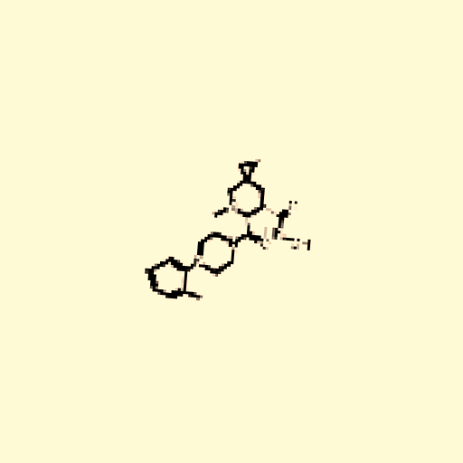 Cc1ccccc1N1CCN(C(=O)[C@@H]2[C@@H](C(=O)NO)CC3(CC3)CN2C)CC1